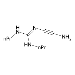 CCCNC(=NC#CN)NCCC